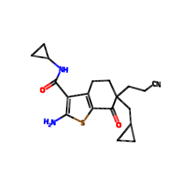 N#CCCC1(CC2CC2)CCc2c(sc(N)c2C(=O)NC2CC2)C1=O